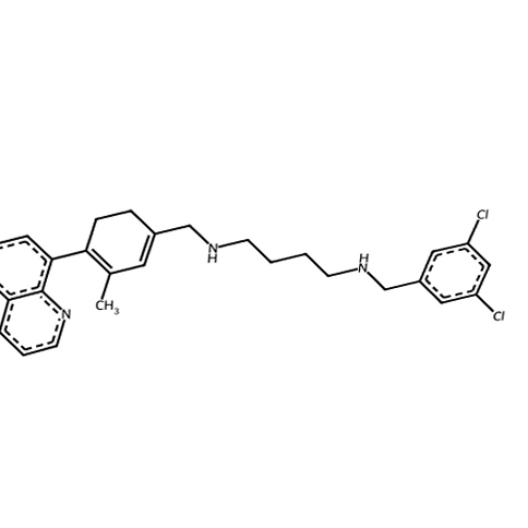 CC1=C(c2cccc3cccnc23)CCC(CNCCCCNCc2cc(Cl)cc(Cl)c2)=C1